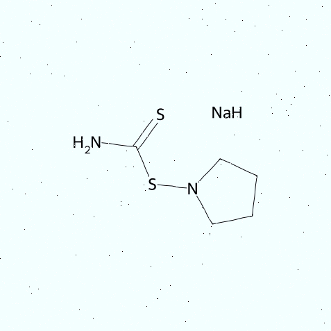 NC(=S)SN1CCCC1.[NaH]